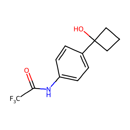 O=C(Nc1ccc(C2(O)CCC2)cc1)C(F)(F)F